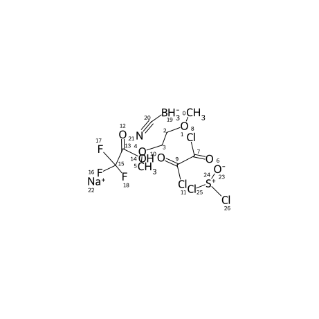 COCCOC.O=C(Cl)C(=O)Cl.O=C(O)C(F)(F)F.[BH3-]C#N.[Na+].[O-][S+](Cl)Cl